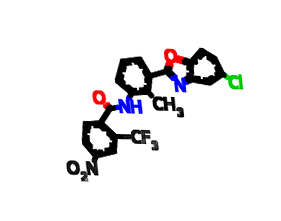 Cc1c(NC(=O)c2ccc([N+](=O)[O-])cc2C(F)(F)F)cccc1-c1nc2cc(Cl)ccc2o1